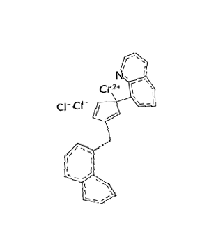 [Cl-].[Cl-].[Cr+2][C]1(c2cccc3cccnc23)C=CC(Cc2cccc3ccccc23)=C1